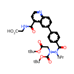 CCCN(C(=O)c1ccc(-c2ccc3nccc(C(=O)NCC(=O)O)c3c2)cc1)N(CC(=O)OC(C)(C)C)C(=O)OC(C)(C)C